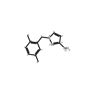 Cc1ccc(C)c(Cn2ccc(N)n2)c1